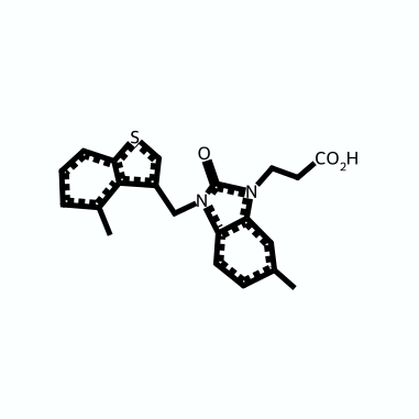 Cc1ccc2c(c1)n(CCC(=O)O)c(=O)n2Cc1csc2cccc(C)c12